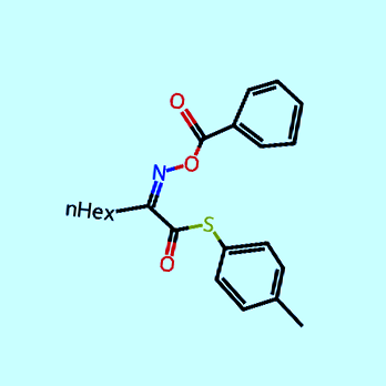 CCCCCCC(=NOC(=O)c1ccccc1)C(=O)Sc1ccc(C)cc1